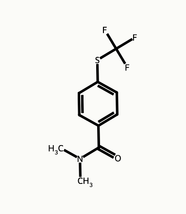 CN(C)C(=O)c1ccc(SC(F)(F)F)cc1